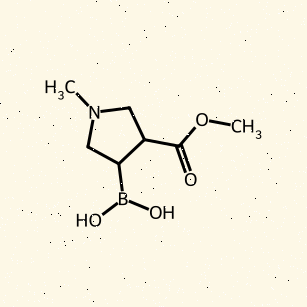 COC(=O)C1CN(C)CC1B(O)O